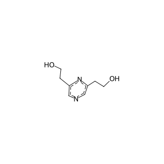 OCCc1cncc(CCO)n1